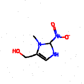 CN1C(CO)=CNC1[N+](=O)[O-]